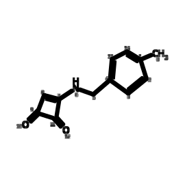 Cc1ccc(CNc2cc(=O)c2=O)cc1